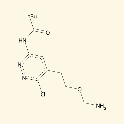 CC(C)(C)C(=O)Nc1cc(CCOCN)c(Cl)nn1